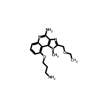 CCOCc1nc2c(N)nc3cccc(OCCCN)c3c2n1C